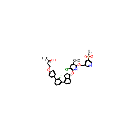 [CH2][C@H](O)CCOc1ccc(-c2cccc(-c3cccc4c3CC[C@@H]4Oc3nc(OCc4cncc(S(C)(=O)=O)c4)c(C=O)cc3Cl)c2Cl)cc1